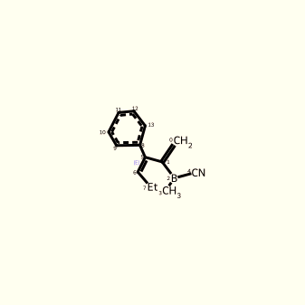 C=C(B(C)C#N)/C(=C\CC)c1ccccc1